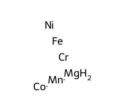 [Co].[Cr].[Fe].[MgH2].[Mn].[Ni]